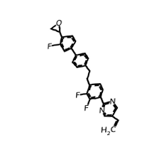 C=Cc1cnc(-c2ccc(CCc3ccc(-c4ccc(C5CO5)c(F)c4)cc3)c(F)c2F)nc1